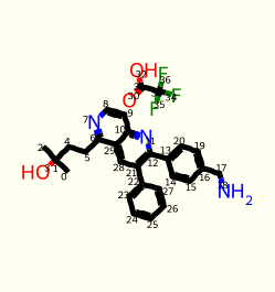 CC(C)(O)CCc1nccc2nc(-c3ccc(CN)cc3)c(-c3ccccc3)cc12.O=C(O)C(F)(F)F